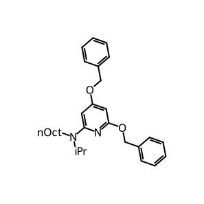 CCCCCCCCN(c1cc(OCc2ccccc2)cc(OCc2ccccc2)n1)C(C)C